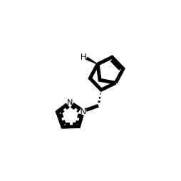 C1=C[C@@H]2CC1[C@H](Cn1cccn1)C2